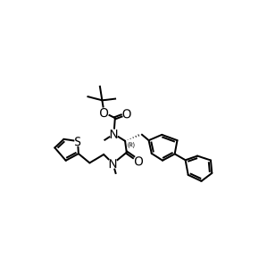 CN(CCc1cccs1)C(=O)[C@@H](Cc1ccc(-c2ccccc2)cc1)N(C)C(=O)OC(C)(C)C